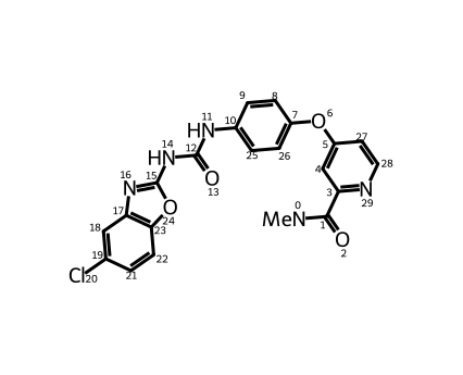 CNC(=O)c1cc(Oc2ccc(NC(=O)Nc3nc4cc(Cl)ccc4o3)cc2)ccn1